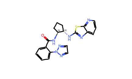 O=C(N[C@H]1CCC[C@@H]1Nc1nc2cccnc2s1)c1ccccc1-n1nccn1